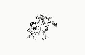 CCC(CCC(NC(=O)O)C(C)(C)C)Oc1nc(C(F)(F)F)ccc1C#N